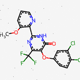 COc1cccnc1-c1nc(C(F)(F)F)c(Oc2ccc(Cl)c(Cl)c2)c(=O)[nH]1